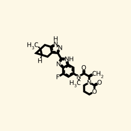 C=C(C(=O)N(C)c1cc(F)c2nc(-c3n[nH]c4c3C[C@@H]3C[C@]3(C)C4)[nH]c2c1)N1CCCOC1=O